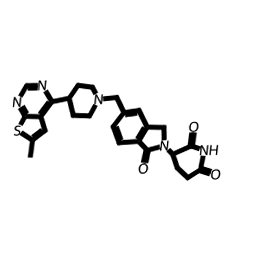 Cc1cc2c(C3CCN(Cc4ccc5c(c4)CN(C4CCC(=O)NC4=O)C5=O)CC3)ncnc2s1